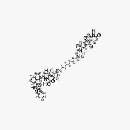 Cc1c(OCCCCCCCCCN2CCN(c3cc4c(cc3F)C(=O)N(C3CCC(=O)NC3=O)C4=O)CC2)cccc1-c1ccc(N2CCc3cccc(C(=O)Nc4nc5ccccc5s4)c3C2)nc1C(=O)O